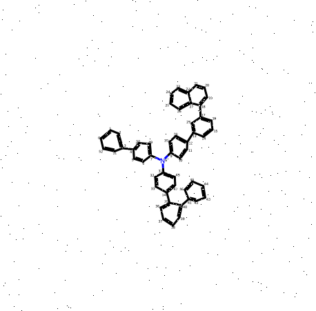 c1ccc(-c2ccc(N(c3ccc(-c4cccc(-c5cccc6ccccc56)c4)cc3)c3ccc(-c4ccccc4-c4ccccc4)cc3)cc2)cc1